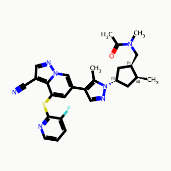 CC(=O)N(C)C[C@@H]1C[C@@H](n2ncc(-c3cc(Sc4ncccc4F)c4c(C#N)cnn4c3)c2C)C[C@@H]1C